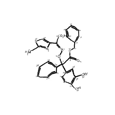 Nc1nc(C(=NOC(C(=O)OCc2ccccc2)(c2ccccc2)c2ccc(O)c(O)c2)C(=O)O)cs1